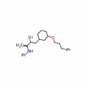 C=C(NC(C)C)C(S)CC1CCCC(OCCCC(C)C)C1